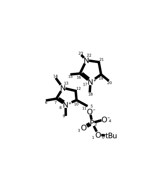 CC(C)(C)OP(=O)([O-])[O-].CC1=[N+](C)C(C)CN1C.CC1=[N+](C)C(C)CN1C